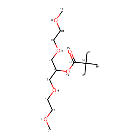 COCCOCC(COCCOC)OC(=O)C(C)(C)C